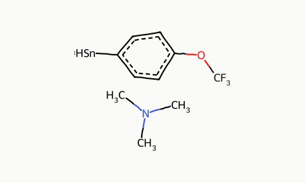 CN(C)C.FC(F)(F)Oc1cc[c]([SnH])cc1